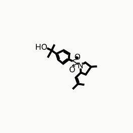 CC(C)=CC1CC(C)CN1S(=O)(=O)c1ccc(C(C)(C)O)cc1